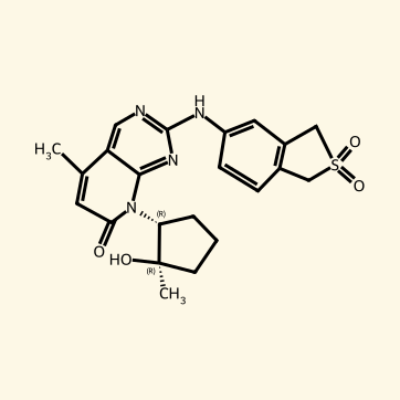 Cc1cc(=O)n([C@@H]2CCC[C@@]2(C)O)c2nc(Nc3ccc4c(c3)CS(=O)(=O)C4)ncc12